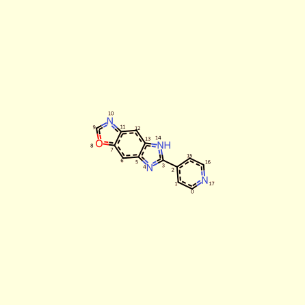 c1cc(-c2nc3cc4ocnc4cc3[nH]2)ccn1